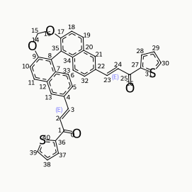 O=C(/C=C/c1ccc2c3c(ccc2c1)OCOc1ccc2cc(/C=C/C(=O)c4cccs4)ccc2c1-3)c1cccs1